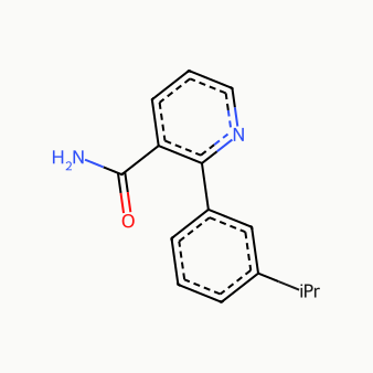 CC(C)c1cccc(-c2ncccc2C(N)=O)c1